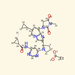 CCC(=O)O[C@H]1C[C@H](c2cn3cc(C4CC4)cc(N4CC(=O)N(C)C4=O)c3n2)N(c2cc(NC(=O)[C@H]3C[C@@H]3C)ncn2)C1